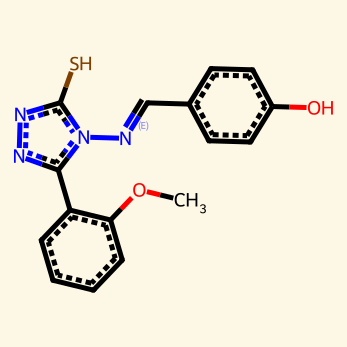 COc1ccccc1-c1nnc(S)n1/N=C/c1ccc(O)cc1